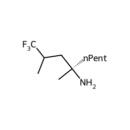 CCCCC[C@@](C)(N)CC(C)C(F)(F)F